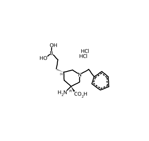 Cl.Cl.N[C@]1(C(=O)O)C[C@H](CCB(O)O)CN(Cc2ccccc2)C1